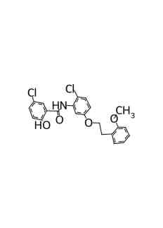 COc1ccccc1CCOc1ccc(Cl)c(NC(=O)c2cc(Cl)ccc2O)c1